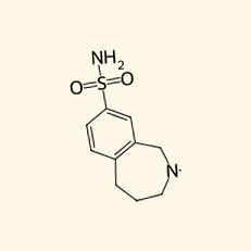 NS(=O)(=O)c1ccc2c(c1)C[N]CCC2